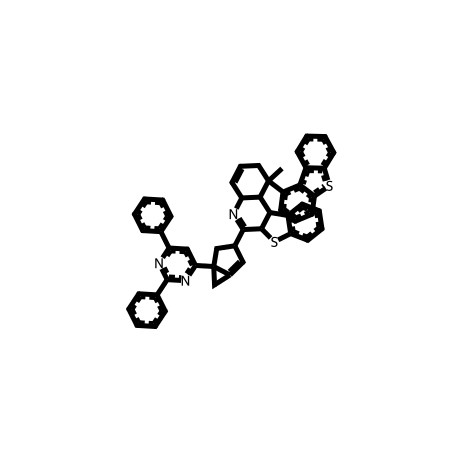 CC1(c2cccc3sc4ccccc4c23)CC=CC2N=C(C3C=C4CC4(c4cc(-c5ccccc5)nc(-c5ccccc5)n4)C3)C3Sc4ccccc4C3C21